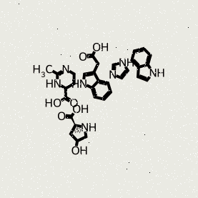 CC1=NCCC(C(=O)O)N1.O=C(O)Cc1c[nH]c2ccccc12.O=C(O)[C@@H]1CC(O)CN1.c1c[nH]cn1.c1ccc2[nH]ccc2c1